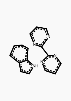 c1ccc2[nH]ccc2c1.c1cnc(-c2ncccn2)nc1